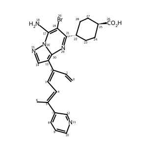 C=C/C(=C\C=C(/C)c1cccnc1)c1cnn2c(N)c(Br)c([C@H]3CC[C@H](C(=O)O)CC3)nc12